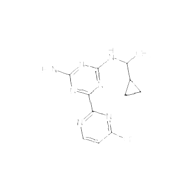 CC(Nc1nc(N)nc(-c2nccc(C(F)(F)F)n2)n1)C1CC1